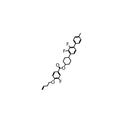 C=CCCOc1ccc(C(=O)OC2CCC(c3ccc(-c4ccc(C)cc4)c(F)c3F)CC2)cc1F